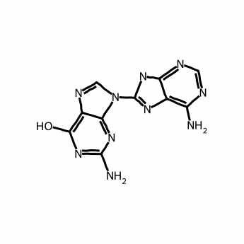 Nc1nc(O)c2ncn(C3=Nc4c(N)ncnc4[N]3)c2n1